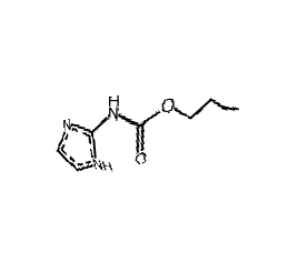 CCCOC(=O)Nc1ncc[nH]1